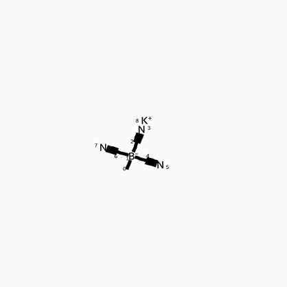 C[B-](C#N)(C#N)C#N.[K+]